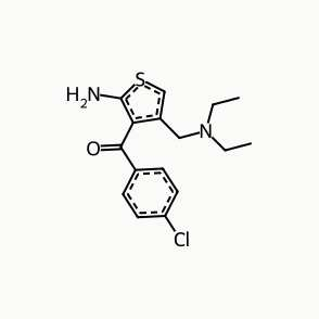 CCN(CC)Cc1csc(N)c1C(=O)c1ccc(Cl)cc1